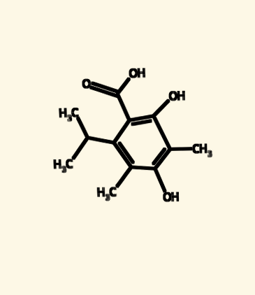 Cc1c(O)c(C)c(C(C)C)c(C(=O)O)c1O